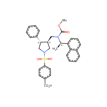 C[C@H](c1cccc2ccccc12)N(C[C@H]1CN(S(=O)(=O)c2ccc(C(=O)O)cc2)C[C@@H]1c1ccccc1)C(=O)OC(C)(C)C